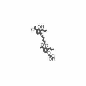 CCCc1c(OCCCCCOc2c(C(C)=O)ccc(OCC(=O)O)c2CCC)ccc(C(C)=O)c1O